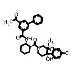 CC(=O)c1cc(C(=O)N[C@@H]2CCCC[C@@H]2C(=O)N2CC[C@](O)(c3ccc(Cl)cc3)C(C)(C)C2)cc(-c2ccccc2)c1